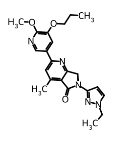 CCCOc1cc(-c2cc(C)c3c(n2)CN(c2ccn(CC)n2)C3=O)cnc1OC